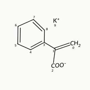 C=C(C(=O)[O-])c1ccccc1.[K+]